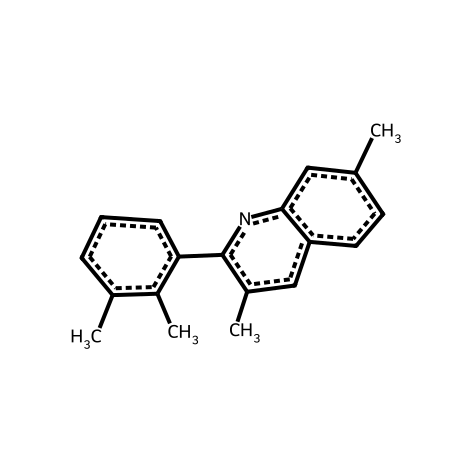 Cc1ccc2cc(C)c(-c3cccc(C)c3C)nc2c1